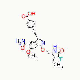 CC[C@@H]1[C@H](F)C(=O)N[C@@H]1CCOc1ncc(C#Cc2ccc(C(=O)O)cc2)c2cc(C(N)=O)c(OC)cc12